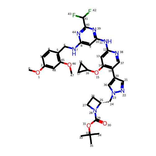 COc1ccc(CNc2cc(Nc3cc(OC4CC4)c(-c4cnn(C[C@H]5CCN5C(=O)OC(C)(C)C)c4)cn3)nc(C(F)F)n2)c(OC)c1